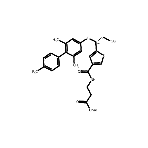 COC(=O)CCNC(=O)c1csc([C@@H](CC(C)(C)C)Oc2cc(C)c(-c3ccc(C(F)(F)F)cc3)c(C)c2)c1